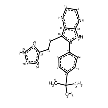 CC(C)(C)c1ccc(-c2[nH]c3nccnc3c2CCc2nn[nH]n2)cc1